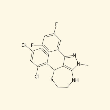 Cn1nc(-c2cc(F)cc(F)c2)c2c1NCCSC2c1ccc(Cl)cc1Cl